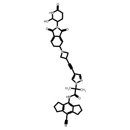 CC(C)(C(=O)Nc1c2c(c(C#N)c3c1CCC3)CCC2)n1cc(C#CC2CN(C3C=C4C(=O)N(C5CCC(=O)NC5O)C(=O)C4=CC3)C2)cn1